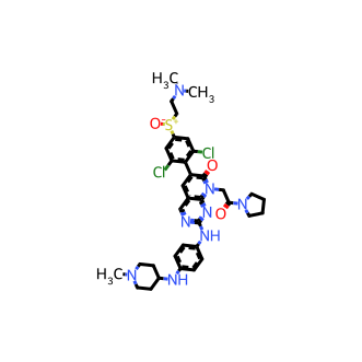 CN(C)CC[S+]([O-])c1cc(Cl)c(-c2cc3cnc(Nc4ccc(NC5CCN(C)CC5)cc4)nc3n(CC(=O)N3CCCC3)c2=O)c(Cl)c1